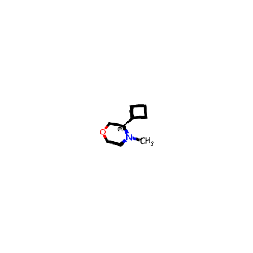 CN1CCOC[C@H]1C1CCC1